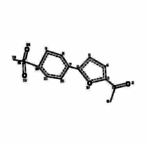 CC(=O)c1ccc(-c2ccc(S(C)(=O)=O)cc2)o1